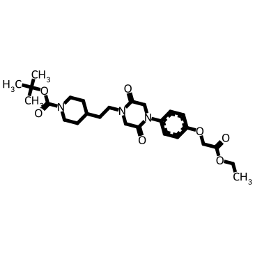 CCOC(=O)COc1ccc(N2CC(=O)N(CCC3CCN(C(=O)OC(C)(C)C)CC3)CC2=O)cc1